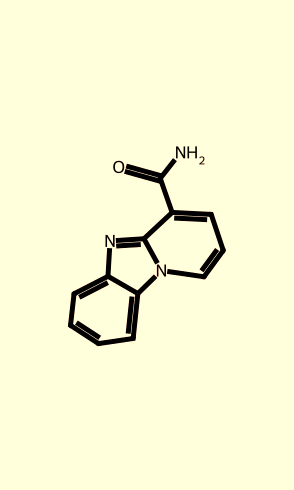 NC(=O)c1cccn2c1nc1ccccc12